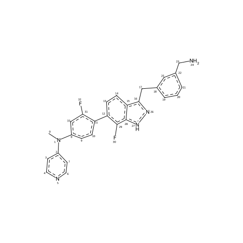 CN(c1ccncc1)c1ccc(-c2ccc3c(Cc4cccc(CN)c4)n[nH]c3c2F)c(F)c1